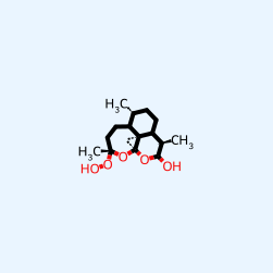 C[C@H]1C(O)O[C@]23C[C@]24C1CC[C@@H](C)C4CC[C@@](C)(OO)O3